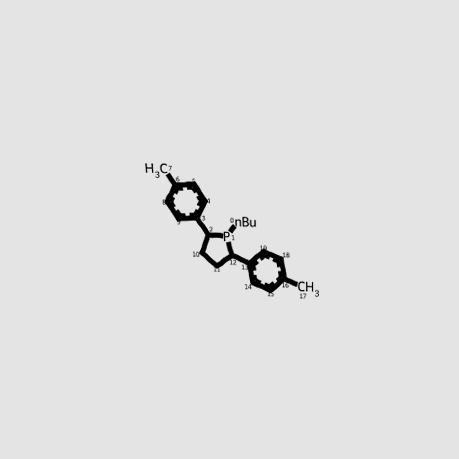 CCCCP1C(c2ccc(C)cc2)CCC1c1ccc(C)cc1